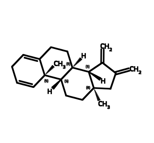 C=C1C[C@@]2(C)CC[C@H]3[C@@H](CCC4=CCC=C[C@@]43C)[C@@H]2C1=C